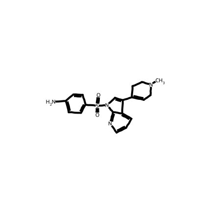 CN1CC=C(c2cn(S(=O)(=O)c3ccc(N)cc3)c3ncccc23)CC1